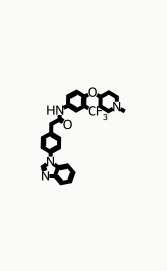 CN1CCC(Oc2ccc(NC(=O)Cc3ccc(-n4cnc5ccccc54)cc3)cc2C(F)(F)F)CC1